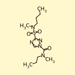 CCCCN(C)S(=O)(=O)c1ncn(C(=O)N(C)CCC)n1